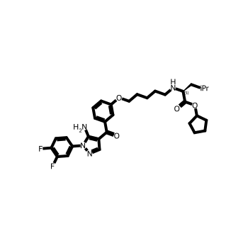 CC(C)C[C@H](NCCCCCOc1cccc(C(=O)c2cnn(-c3ccc(F)c(F)c3)c2N)c1)C(=O)OC1CCCC1